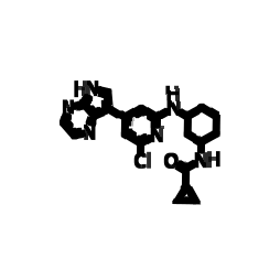 O=C(NC1CCCC(Nc2cc(-c3c[nH]c4nccnc34)cc(Cl)n2)C1)C1CC1